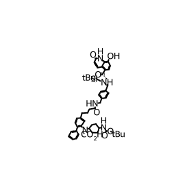 CC(C)(C)OC(=O)NC1CCC(N(C(=O)O)c2cc(CCCC(=O)NCc3ccc(CNC[C@H](O[Si](C)(C)C(C)(C)C)c4ccc(O)c5[nH]c(=O)ccc45)cc3)ccc2-c2ccccc2)CC1